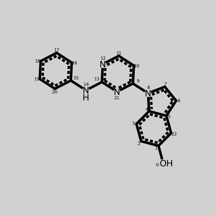 Oc1ccc2c(ccn2-c2ccnc(Nc3ccccc3)n2)c1